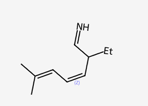 CCC(C=N)/C=C\C=C(C)C